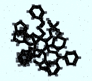 CN(C)CCC1(CN=Cc2ccccc2)[C](CCS(C)(=O)=O)C(CCN(c2ccccc2)c2ccccc2)(C2CCCN(C)C2)[N+](Cc2ccccc2)(Cc2nccn2C)C(Cc2ncco2)(Cc2nccs2)C1(CCN1CCCC1)Cc1ncccn1